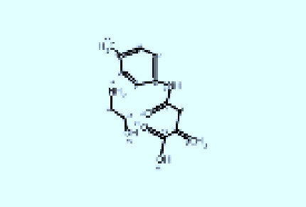 C=C(CC(=O)Nc1ccc(C)cc1)C(=O)O.NCCO